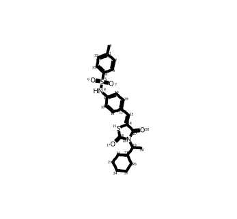 Cc1ccc(S(=O)(=O)Nc2ccc(/C=C3\SC(=O)N(C(C)C4CCCCC4)C3=O)cc2)cc1